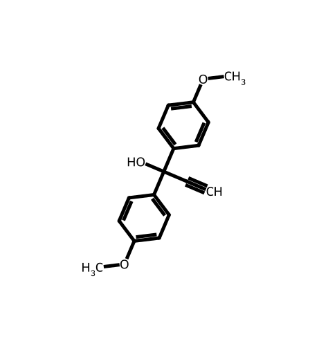 C#CC(O)(c1ccc(OC)cc1)c1ccc(OC)cc1